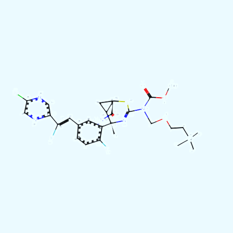 CC(C)(C)OC(=O)N(COCC[Si](C)(C)C)C1=N[C@](C)(c2cc(/C=C(\F)c3cnc(Cl)cn3)ccc2F)C2C[C@]2(C(N)=O)S1